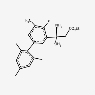 CCOC(=O)C[C@](N)([SiH3])c1cc(-c2c(C)cc(C)cc2C)cc(C(F)(F)F)c1F